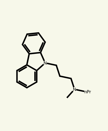 CCCN(C)CCCn1c2ccccc2c2ccccc21